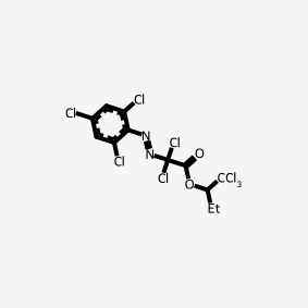 CCC(OC(=O)C(Cl)(Cl)N=Nc1c(Cl)cc(Cl)cc1Cl)C(Cl)(Cl)Cl